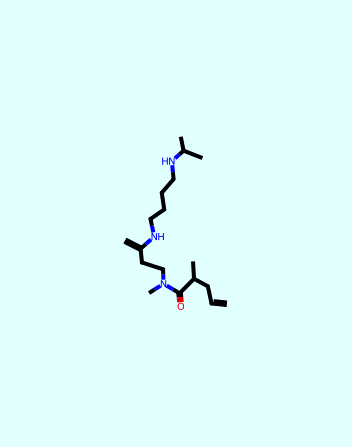 C=CCC(C)C(=O)N(C)CCC(=C)NCCCCNC(C)C